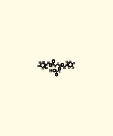 CC(=O)O.O=C(CCC(=O)OCC1CC2C=CC1C2)OCC1CC2C=CC1C2